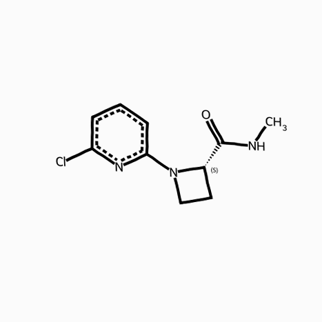 CNC(=O)[C@@H]1CCN1c1cccc(Cl)n1